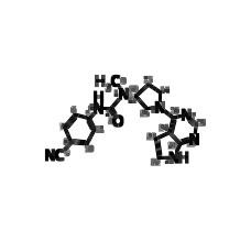 CN(C(=O)Nc1ccc(C#N)cc1)[C@@H]1CCN(c2ncnc3[nH]ccc23)C1